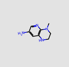 CN1CCNc2cc(N)cnc21